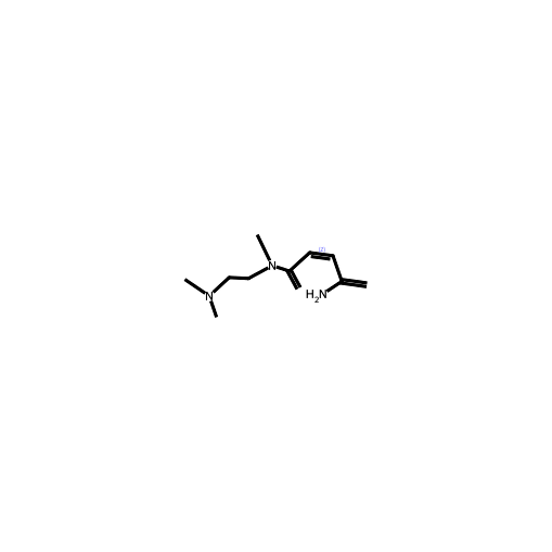 C=C(N)/C=C\C(=C)N(C)CCN(C)C